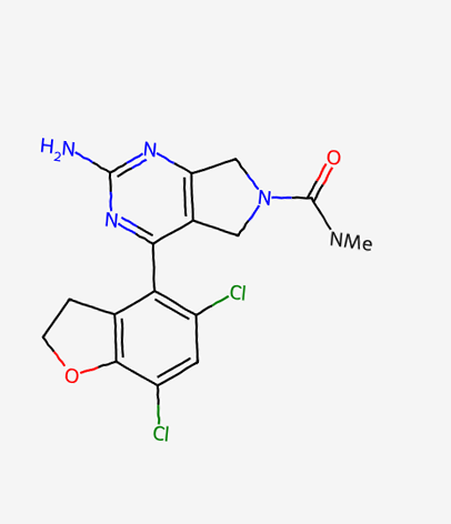 CNC(=O)N1Cc2nc(N)nc(-c3c(Cl)cc(Cl)c4c3CCO4)c2C1